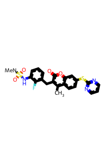 CNS(=O)(=O)Nc1cccc(Cc2c(C)c3ccc(Sc4ncccn4)cc3oc2=O)c1F